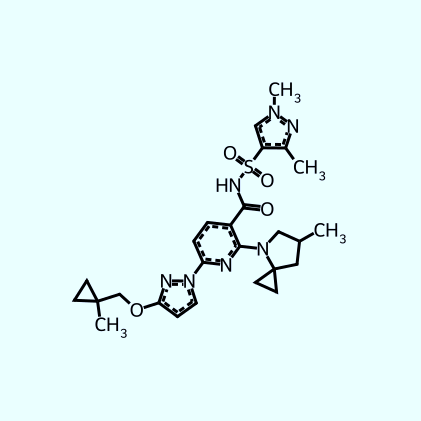 Cc1nn(C)cc1S(=O)(=O)NC(=O)c1ccc(-n2ccc(OCC3(C)CC3)n2)nc1N1CC(C)CC12CC2